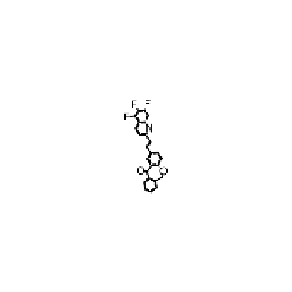 O=C1c2ccccc2COc2ccc(C=Cc3ccc4c(F)c(F)c(F)cc4n3)cc21